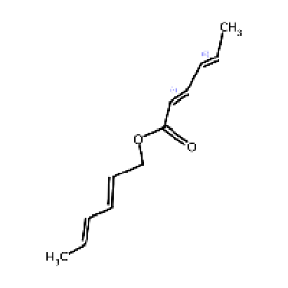 CC=CC=CCOC(=O)/C=C/C=C/C